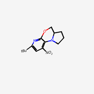 CC(C)(C)c1cc([N+](=O)[O-])c2c(n1)OCC1CCCN21